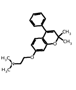 CN(C)CCOc1ccc2c(c1)OC(C)(C)C=C2c1ccccc1